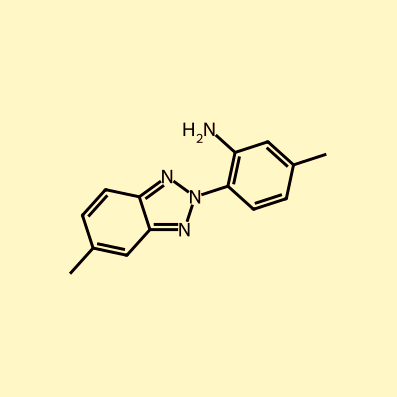 Cc1ccc(-n2nc3ccc(C)cc3n2)c(N)c1